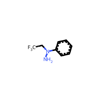 NN(CC(F)(F)F)c1ccccc1